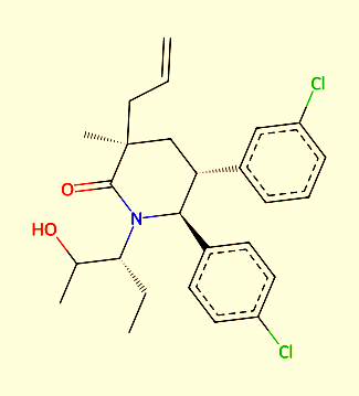 C=CC[C@@]1(C)C[C@H](c2cccc(Cl)c2)[C@@H](c2ccc(Cl)cc2)N([C@H](CC)C(C)O)C1=O